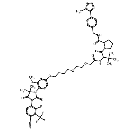 COc1nc(OCCCCOCCOCC(=O)NC(C(=O)N2CCCC2C(=O)NCc2ccc(-c3scnc3C)cc2)C(C)(C)C)ccc1N1C(=S)N(c2ccc(C#N)c(C(F)(F)F)c2F)C(=O)C1(C)C